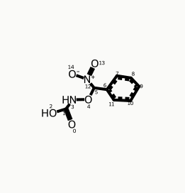 O=C(O)NOC(c1ccccc1)[N+](=O)[O-]